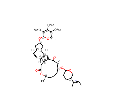 C/C=C(\C)[C@H]1CCC(O[C@H]2CCC[C@H](CC)OC(=O)C[C@@H]3C(=C[C@@H]4[C@H]3C=C[C@@H]3C[C@@H](O[C@@H]5O[C@@H](C)[C@H](OC)[C@@H](OC)[C@H]5OC)C[C@@H]43)C(=O)[C@@H]2C)OC1